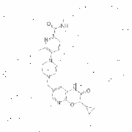 CNC(=O)c1ccc(N2CCN(Cc3cnc4c(c3)NC(=O)C(C3CC3)O4)CC2)c(C)n1